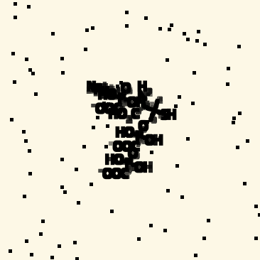 CC(C)(S)[C@@H](N)C(=O)O.O=C([O-])P(=O)(O)O.O=C([O-])P(=O)(O)O.O=C([O-])P(=O)(O)O.[Na+].[Na+].[Na+]